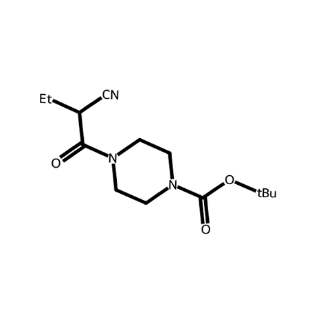 CCC(C#N)C(=O)N1CCN(C(=O)OC(C)(C)C)CC1